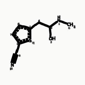 CNC(O)Cc1ccc(C#N)s1